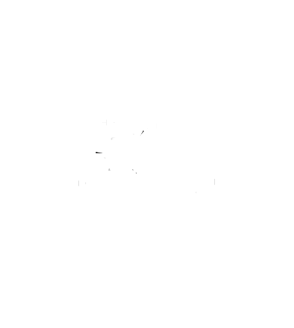 OC[C@@H]1[C@@H](O)[C@H](O)[C@@H](O)CN1CC1CCC(Cl)(Cl)CC1